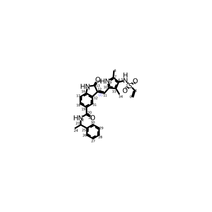 C=CS(=O)(=O)Nc1c(C)[nH]c(/C=C2\C(=O)Nc3ccc(C(=O)NC(C)c4ccccc4)cc32)c1C